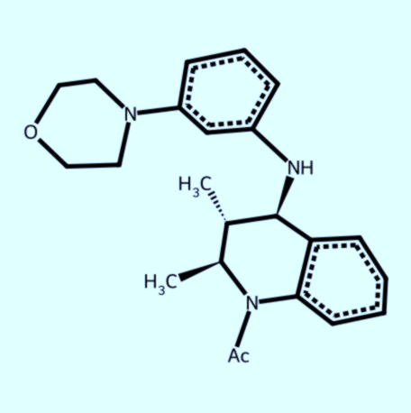 CC(=O)N1c2ccccc2[C@H](Nc2cccc(N3CCOCC3)c2)[C@@H](C)[C@@H]1C